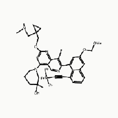 COCOc1cc(-c2ncc3c(N4CCCC(C)(O)C4)nc(OCC4(CN(C)C)CC4)nc3c2F)c2c(C#C[Si](C(C)C)(C(C)C)C(C)C)cccc2c1